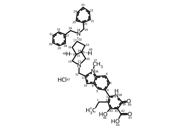 CCc1c(-c2ccc3c(c2)cc(CN2C[C@H]4C[C@H](N(Cc5ccccc5)Cc5ccccc5)C[C@H]4C2)n3C)[nH]c(=O)c(C(=O)O)c1O.Cl